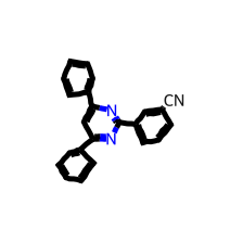 N#Cc1cccc(-c2nc(-c3ccccc3)cc(-c3ccccc3)n2)c1